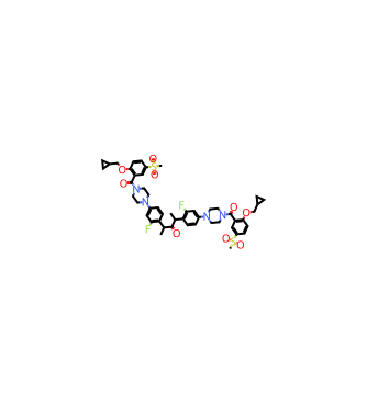 CC(C(=O)C(C)c1ccc(N2CCN(C(=O)c3cc(S(C)(=O)=O)ccc3OCC3CC3)CC2)cc1F)c1ccc(N2CCN(C(=O)c3cc(S(C)(=O)=O)ccc3OCC3CC3)CC2)cc1F